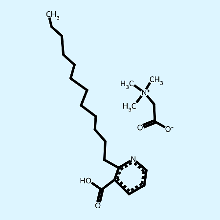 CCCCCCCCCCCCc1ncccc1C(=O)O.C[N+](C)(C)CC(=O)[O-]